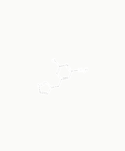 O=C(O)c1cc(Cn2ccnc2)cc(Cl)n1